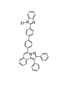 CCn1c(-c2ccc(-c3ccc(-c4cc5ccccc5c5c(-c6ccccc6)c(-c6ccccc6)nn45)cc3)cc2)nc2ccccc21